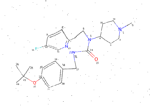 CN1CCC(N(Cc2ccc(F)cn2)C(=O)NCc2ccc(OC(C)(C)C)cc2)CC1